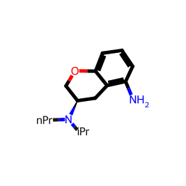 CCCN(C(C)C)[C@H]1COc2cccc(N)c2C1